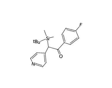 CC(C)(C)[Si](C)(C)C(C(=O)c1ccc(F)cc1)c1ccncc1